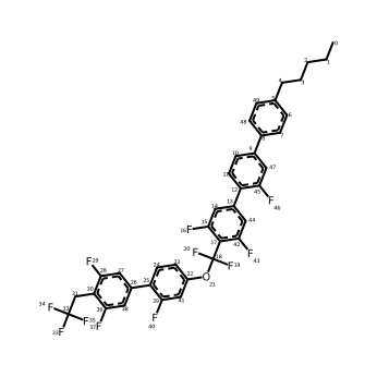 CCCCCc1ccc(-c2ccc(-c3cc(F)c(C(F)(F)Oc4ccc(-c5cc(F)c(CC(F)(F)F)c(F)c5)c(F)c4)c(F)c3)c(F)c2)cc1